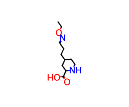 CCON=CCCC1CCNC(C(=O)O)C1